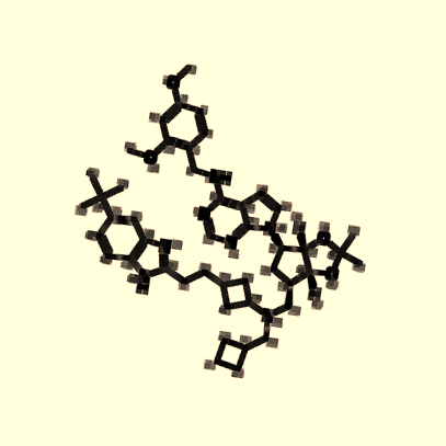 COc1ccc(CNc2ncnc3c2ccn3[C@@H]2C[C@H](CN(CC3CCC3)C3CC(CCc4nc5cc(C(C)(C)C)ccc5[nH]4)C3)[C@H]3OC(C)(C)O[C@H]32)c(OC)c1